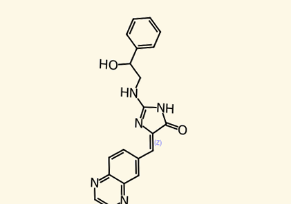 O=C1NC(NCC(O)c2ccccc2)=N/C1=C\c1ccc2nccnc2c1